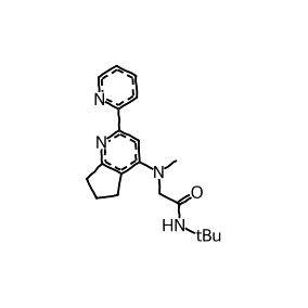 CN(CC(=O)NC(C)(C)C)c1cc(-c2ccccn2)nc2c1CCC2